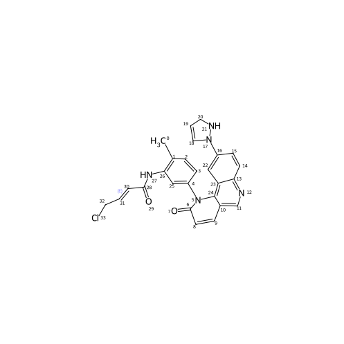 Cc1ccc(-n2c(=O)ccc3cnc4ccc(N5C=CCN5)cc4c32)cc1NC(=O)/C=C/CCl